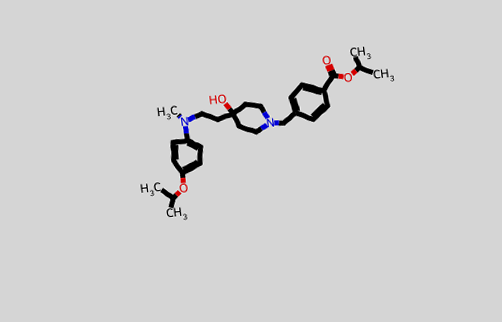 CC(C)OC(=O)c1ccc(CN2CCC(O)(CCN(C)c3ccc(OC(C)C)cc3)CC2)cc1